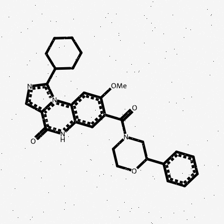 COc1cc2c(cc1C(=O)N1CCOC(c3ccccc3)C1)[nH]c(=O)c1cnc(C3CCCCC3)n12